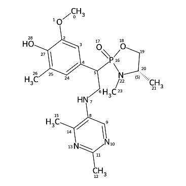 COc1cc(C(CNc2cnc(C)nc2C)P2(=O)OC[C@H](C)N2C)cc(C)c1O